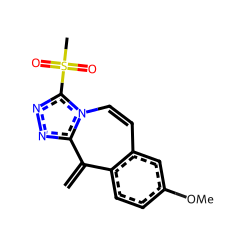 C=C1c2ccc(OC)cc2C=Cn2c1nnc2S(C)(=O)=O